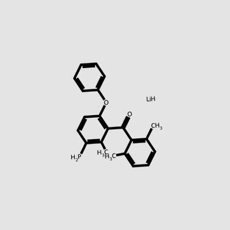 Cc1cccc(C)c1C(=O)c1c(Oc2ccccc2)ccc(P)c1C.[LiH]